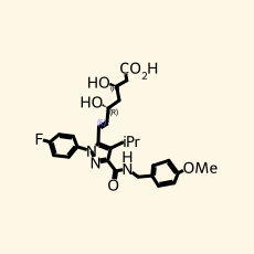 COc1ccc(CNC(=O)c2nn(-c3ccc(F)cc3)c(/C=C/[C@H](O)C[C@@H](O)CC(=O)O)c2C(C)C)cc1